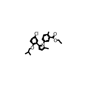 CCOC(=O)c1cc(-n2c(C)ccc2-c2cc(Cl)ccc2OCC(C)C)ccc1C